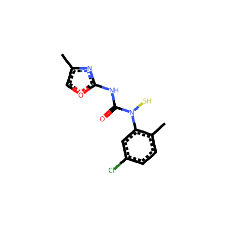 Cc1coc(NC(=O)N(S)c2cc(Cl)ccc2C)n1